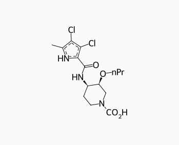 CCCO[C@H]1CN(C(=O)O)CC[C@H]1NC(=O)c1[nH]c(C)c(Cl)c1Cl